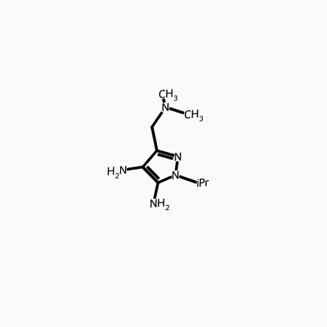 CC(C)n1nc(CN(C)C)c(N)c1N